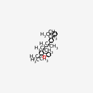 CC(C)(C)c1ccccc1-c1ccc(C(C)(C)CCC(C)(C)c2ccc(C(C)(C)C)c3oc4ccccc4c23)cc1